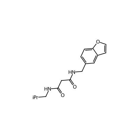 CC(C)CNC(=O)CC(=O)NCc1ccc2occc2c1